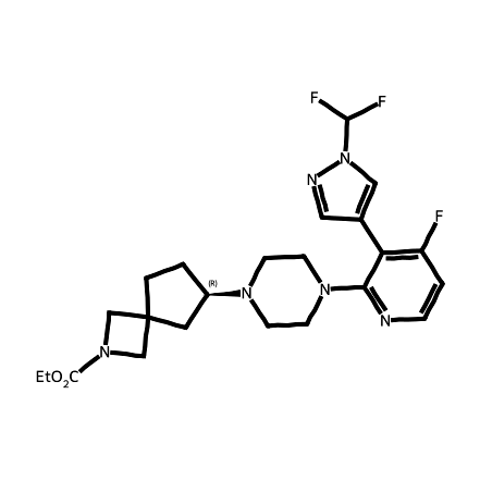 CCOC(=O)N1CC2(CC[C@@H](N3CCN(c4nccc(F)c4-c4cnn(C(F)F)c4)CC3)C2)C1